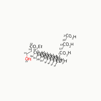 CC(=O)O.CC(=O)O.CC(=O)O.CC(=O)O.CC(=O)O.CC(=O)O.CC(=O)O.CC(=O)O.CC(=O)O.CC(=O)O.CC(=O)O.CCOC(=O)CCO